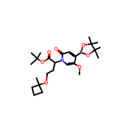 COc1cn(C(CCOC2(C)CCC2)C(=O)OC(C)(C)C)c(=O)cc1B1OC(C)(C)C(C)(C)O1